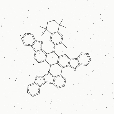 Cc1cc2c(cc1N1c3cc4c(oc5ccccc54)c4c3B(c3ccc5c(sc6ccccc65)c31)n1c3sc5ccccc5c3c3cccc-4c31)C(C)(C)CCC2(C)C